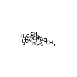 COc1ccc(CN(C)C(C)(C)C)cc1